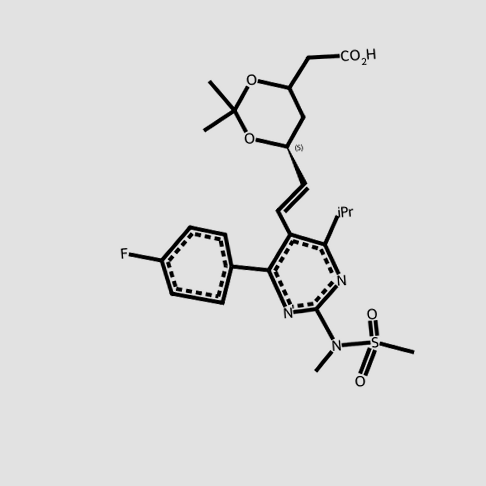 CC(C)c1nc(N(C)S(C)(=O)=O)nc(-c2ccc(F)cc2)c1C=C[C@@H]1CC(CC(=O)O)OC(C)(C)O1